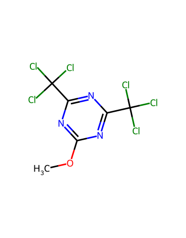 COc1nc(C(Cl)(Cl)Cl)nc(C(Cl)(Cl)Cl)n1